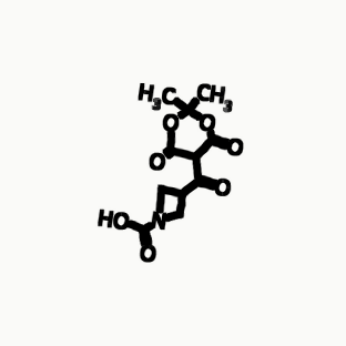 CC1(C)OC(=O)C(C(=O)C2CN(C(=O)O)C2)C(=O)O1